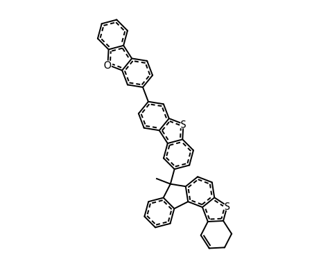 CC1(c2ccc3sc4cc(-c5ccc6c(c5)oc5ccccc56)ccc4c3c2)c2ccccc2-c2c1ccc1sc3c(c21)C=CCC3